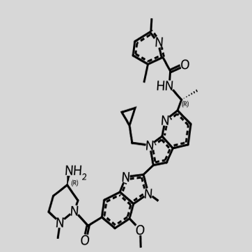 COc1cc(C(=O)N2C[C@H](N)CCN2C)cc2nc(-c3cc4ccc([C@@H](C)NC(=O)c5nc(C)ccc5C)nc4n3CC3CC3)n(C)c12